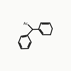 CC(=O)C(C1=CCCC=C1)c1ccccc1